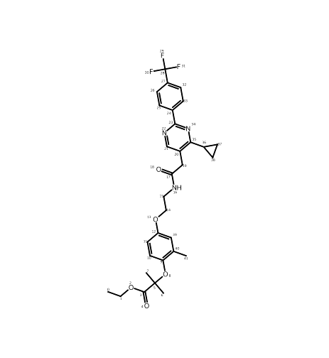 CCOC(=O)C(C)(C)Oc1ccc(OCCNC(=O)Cc2cnc(-c3ccc(C(F)(F)F)cc3)nc2C2CC2)cc1C